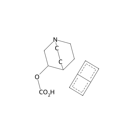 O=C(O)OC1CN2CCC1CC2.c1cc2ccc1-2